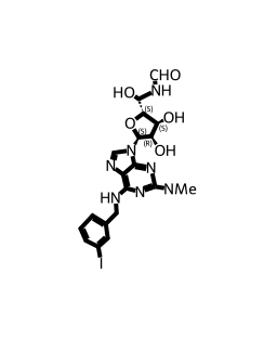 CNc1nc(NCc2cccc(I)c2)c2ncn([C@H]3O[C@H](C(O)NC=O)[C@@H](O)[C@H]3O)c2n1